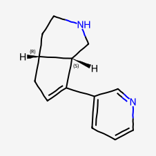 C1=C(c2cccnc2)[C@H]2CNCC[C@H]2C1